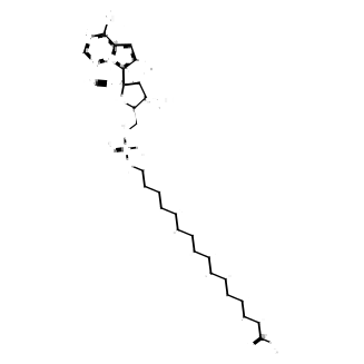 N#C[C@@]1(c2ccc3c(N)ncnn23)O[C@H](COP(=O)(O)OCCCCCCCCCCCCCCCC(=O)O)[C@@H](O)[C@H]1O